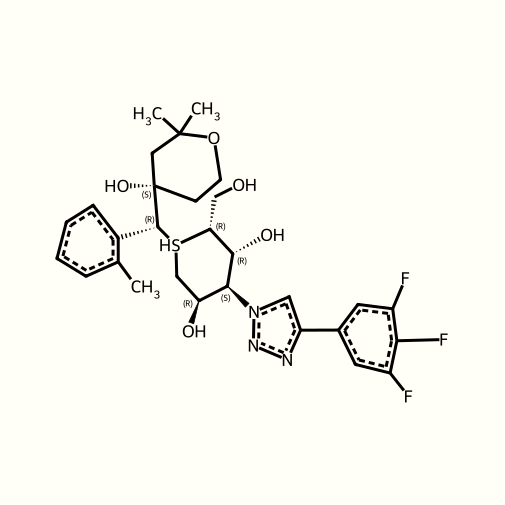 Cc1ccccc1[C@@H]([SH]1C[C@H](O)[C@H](n2cc(-c3cc(F)c(F)c(F)c3)nn2)[C@@H](O)[C@H]1CO)[C@]1(O)CCOC(C)(C)C1